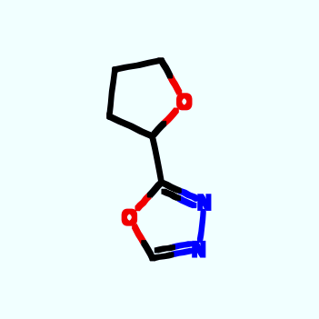 c1nnc(C2CCCO2)o1